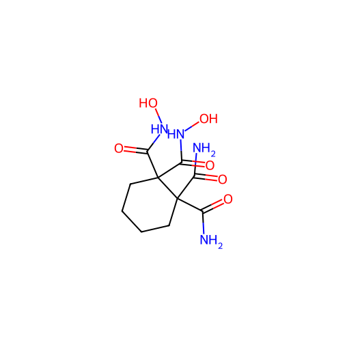 NC(=O)C1(C(N)=O)CCCCC1(C(=O)NO)C(=O)NO